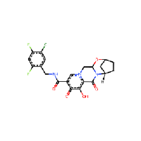 O=C(NCc1cc(Cl)c(F)cc1F)c1cn2c(c(O)c1=O)C(=O)N1C(C2)OC2CC[C@H]1C2